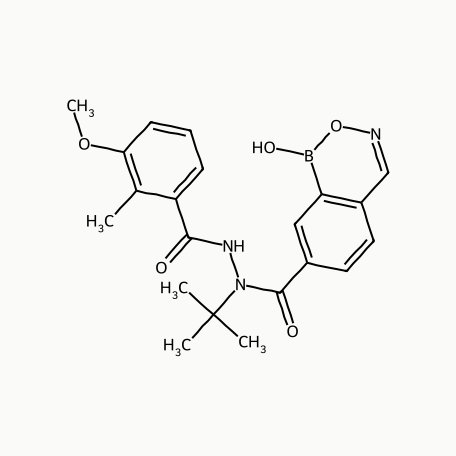 COc1cccc(C(=O)NN(C(=O)c2ccc3c(c2)B(O)ON=C3)C(C)(C)C)c1C